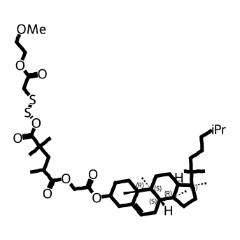 COCCOC(=O)CSSOC(=O)C(C)(C)CC(C)C(=O)OCC(=O)OC1CC[C@@]2(C)C(=CC[C@H]3[C@]4(C)CC[C@](C)(C(C)(C)CCCC(C)C)[C@H]4CC[C@@]32C)C1